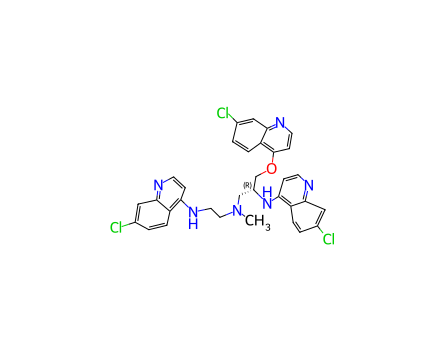 CN(CCNc1ccnc2cc(Cl)ccc12)C[C@H](COc1ccnc2cc(Cl)ccc12)Nc1ccnc2cc(Cl)ccc12